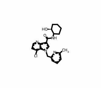 Cc1cccc(Cn2cc(C(=O)NC3CCCC[C@@H]3O)c3nccc(Cl)c32)n1